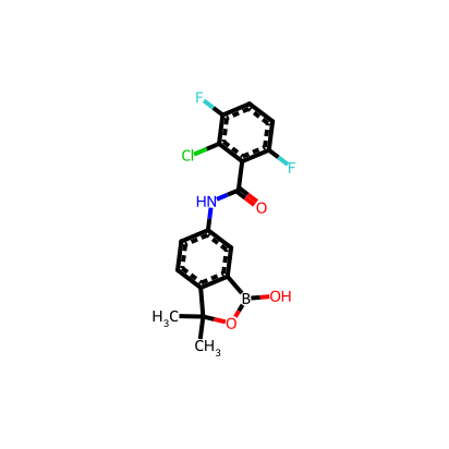 CC1(C)OB(O)c2cc(NC(=O)c3c(F)ccc(F)c3Cl)ccc21